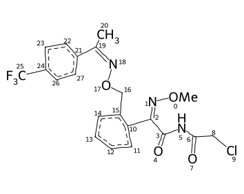 CON=C(C(=O)NC(=O)CCl)c1ccccc1CON=C(C)c1ccc(C(F)(F)F)cc1